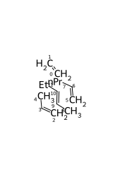 C=C.C=CC.C=CCCC.CC=CCC